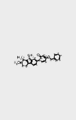 CC1c2c(c3ccc(-n4ccc(OCc5ccccc5)cc4=O)cc3n2C)CCN1C